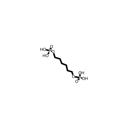 O=P(O)(O)OCCCCCCOP(=O)(O)O